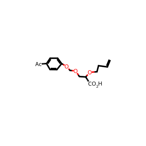 C=CCCOC(COCOc1ccc(C(C)=O)cc1)C(=O)O